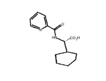 O=C(N[C@H](C(=O)O)C1CCCCC1)c1ccccn1